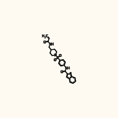 C=CC(=O)NCC1CCN(S(=O)(=O)c2ccc(NC(=O)c3cc4ccccc4s3)cc2)CC1